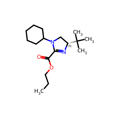 CCCOC(=O)C1=N[C@@H](C(C)(C)C)CN1C1CCCCC1